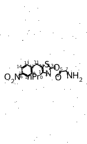 CCCc1nc(OC(=O)CN)sc1Cc1ccc([N+](=O)[O-])cc1